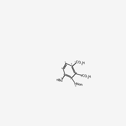 CCCCCCCCCc1c(CCCC)ccc(C(=O)O)c1C(=O)O